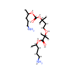 CC(CCCN)OC(=O)OC(C)(C)CCOC(C)(C)C(=O)OC(C)CCCN